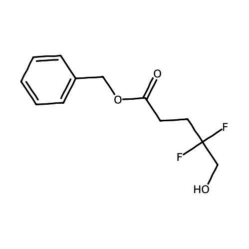 O=C(CCC(F)(F)CO)OCc1ccccc1